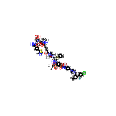 Cc1ncsc1-c1ccc([C@H](C)NC(=O)[C@@H]2C[C@@H](O)CN2C(=O)[C@@H](NC(=O)CCCCCC(=O)N2C[C@@H]3C[C@H]2CN3CC[C@H](CSc2ccccc2)Nc2ccc(S(=O)(=O)NC(=O)c3ccc(N4CCN(CC5=C(c6ccc(Cl)cc6F)CCC6(CC6)C5)CC4)cc3)cc2S(=O)(=O)C(F)(F)F)C(C)(C)C)cc1